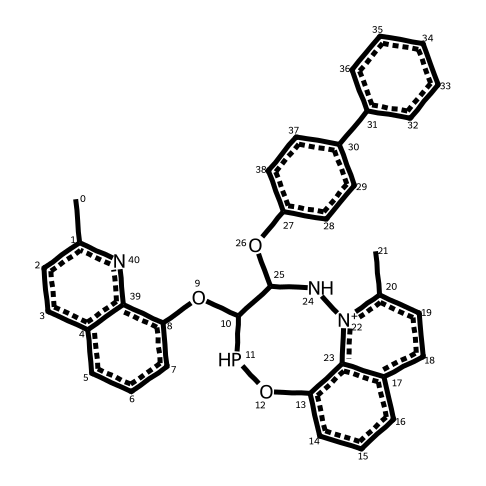 Cc1ccc2cccc(OC3POc4cccc5ccc(C)[n+](c45)NC3Oc3ccc(-c4ccccc4)cc3)c2n1